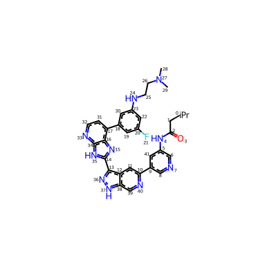 CC(C)CC(=O)Nc1cncc(-c2cc3c(-c4nc5c(-c6cc(F)cc(NCCN(C)C)c6)ccnc5[nH]4)n[nH]c3cn2)c1